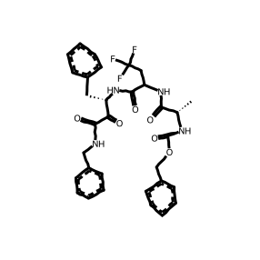 C[C@H](NC(=O)OCc1ccccc1)C(=O)NC(CC(F)(F)F)C(=O)N[C@@H](Cc1ccccc1)C(=O)C(=O)NCc1ccccc1